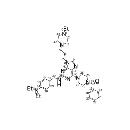 CCN1CCN(CCCn2cnc3c(N4CCN(C(=O)c5ccccc5)CC4)nc(NCc4ccc(N(CC)CC)cc4)nc32)CC1